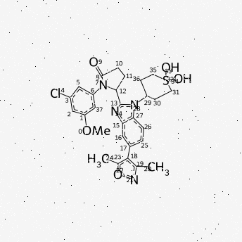 COc1cc(Cl)cc(N2C(=O)CCC2c2nc3cc(-c4c(C)noc4C)ccc3n2C2CCS(O)(O)CC2)c1